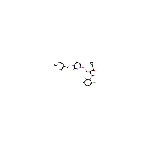 C=C/C=C\C(=C/C)CN(C)c1ccc(OCc2c(-c3c(Cl)cccc3Cl)noc2C2CC2)nc1C